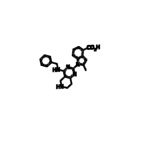 Cc1cc2c(C(=O)O)cccc2n1-c1nc2c(c(NCc3ccccc3)n1)CNCC2